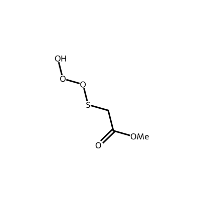 COC(=O)CSOOO